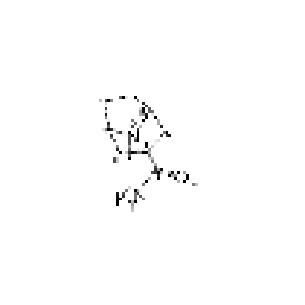 NC(=O)C1CC2CCC(C1)N2